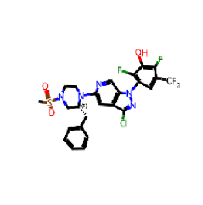 CS(=O)(=O)N1CCN(c2cc3c(Cl)nn(-c4cc(C(F)(F)F)c(F)c(O)c4F)c3cn2)[C@H](Cc2ccccc2)C1